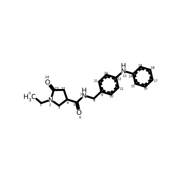 CCN1CC(C(=O)NCc2ccc(Nc3ccccc3)cc2)CC1=O